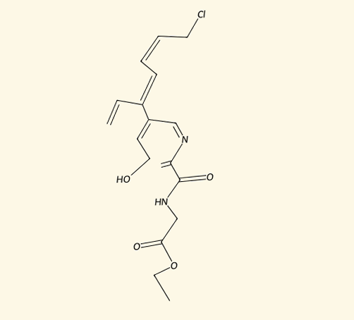 C=CC(=C\C=C/CCl)/C(/C=N\C(=C)C(=O)NCC(=O)OCC)=C/CO